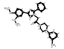 COc1ccc(-c2nc(-c3ccccc3)n(CC(=O)N3CCN(c4cc(C)ccn4)CC3)n2)cc1OC